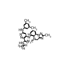 [2H]C([2H])([2H])NC(=O)c1nnc(Nc2cc(C)cc(C)c2)cc1Nc1cccc2c1N(C)Cc1nc(C)nn1-2